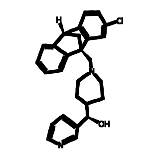 O[C@@H](c1cccnc1)C1CCN(C[C@]23C[C@H](c4ccccc42)c2ccc(Cl)cc23)CC1